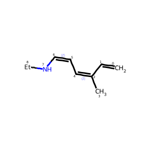 C=C/C(C)=C\C=C/NCC